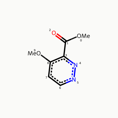 COC(=O)c1nnccc1OC